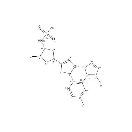 Cc1cnc([C@@H]2CC(N3C[C@@H](C)[C@H](NS(C)(=O)=O)C3)=NO2)c(C2=C(F)C=CC2)c1